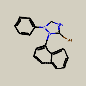 SC1NCN(c2ccccc2)N1c1cccc2ccccc12